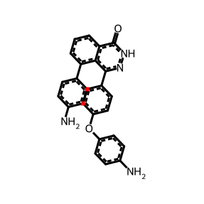 Nc1ccc(Oc2ccc(-c3n[nH]c(=O)c4cccc(-c5ccc(N)cc5)c34)cc2)cc1